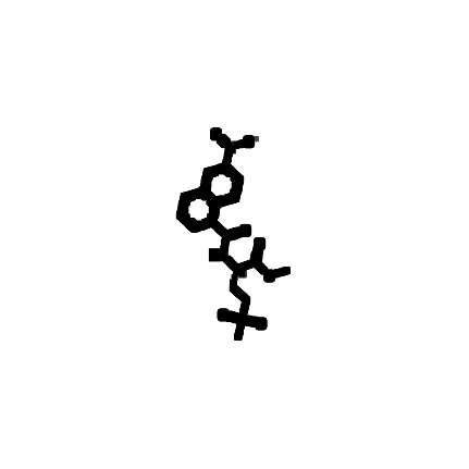 COC(=O)[C@H](CCS(C)(=O)=O)NC(=O)c1cccc2cc([N+](=O)[O-])ccc12